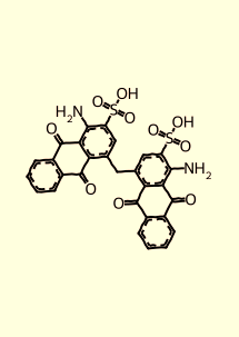 Nc1c(S(=O)(=O)O)cc(Cc2cc(S(=O)(=O)O)c(N)c3c2C(=O)c2ccccc2C3=O)c2c1C(=O)c1ccccc1C2=O